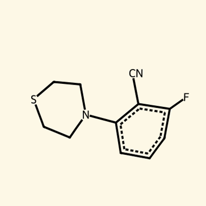 N#Cc1c(F)cccc1N1CCSCC1